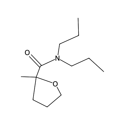 CCCN(CCC)C(=O)C1(C)CCCO1